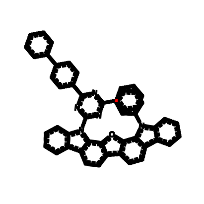 c1ccc(-c2ccc(-c3nc(-c4ccccc4)nc(-n4c5ccccc5c5ccc6c7ccc8c9ccccc9n(-c9ccccc9)c8c7oc6c54)n3)cc2)cc1